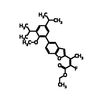 CCOC(=O)/C(F)=C(/C)c1cc2cc(-c3cc(C(C)C)cc(C(C)C)c3OC)ccc2o1